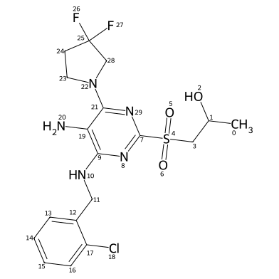 CC(O)CS(=O)(=O)c1nc(NCc2ccccc2Cl)c(N)c(N2CCC(F)(F)C2)n1